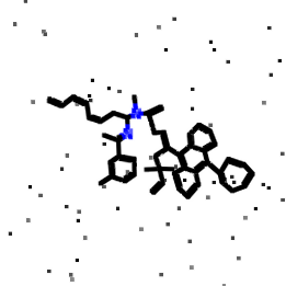 C=C/C=C\C=C/CC(/N=C(\C)c1cccc(C)c1)N(C)C(=C)C/C=C(\CC(C)(C)C=C)c1c2ccccc2c(C2=CCC=CC=C2)c2ccccc12